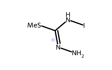 CS/C(=N/N)NI